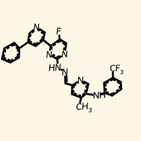 Cc1cc(/C=N/Nc2ncc(F)c(-c3cncc(-c4ccccc4)c3)n2)ncc1Nc1cccc(C(F)(F)F)c1